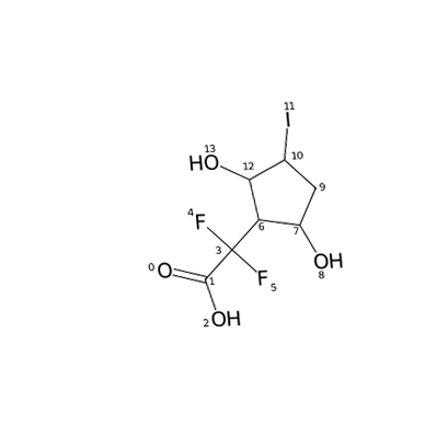 O=C(O)C(F)(F)C1C(O)CC(I)C1O